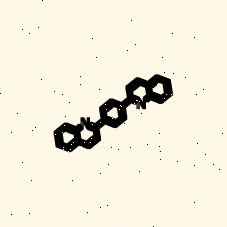 c1ccc2nc(-c3ccc(-c4ccc5ccccc5n4)cc3)ccc2c1